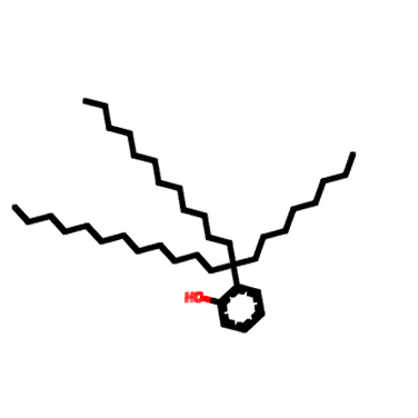 CCCCCCCCCCCCC(CCCCCCCC)(CCCCCCCCCCCC)c1ccccc1O